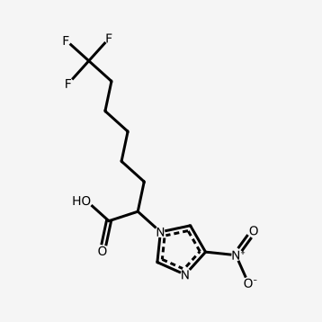 O=C(O)C(CCCCCC(F)(F)F)n1cnc([N+](=O)[O-])c1